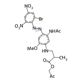 COc1cc(/N=N/c2c(Br)cc([N+](=O)[O-])cc2[N+](=O)[O-])c(NC(C)=O)cc1NCC(C)C(=O)OCC(C)=O